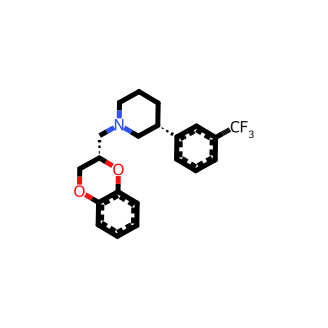 FC(F)(F)c1cccc([C@H]2CCCN(C[C@H]3COc4ccccc4O3)C2)c1